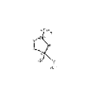 CN1CCC(F)(CO)C1